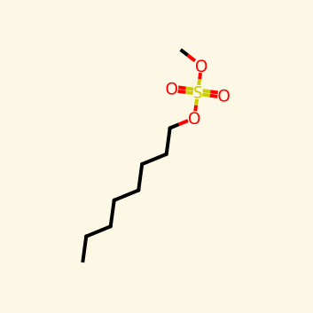 CCCCCCCCOS(=O)(=O)OC